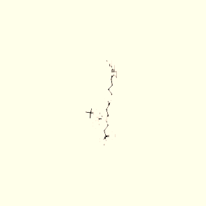 COC(=O)CCN(CCCOCCCCN=[N+]=[N-])C(=O)OC(C)(C)C